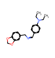 CCN(CC)c1ccc(/C=N\Cc2ccc3c(c2)OCO3)cc1